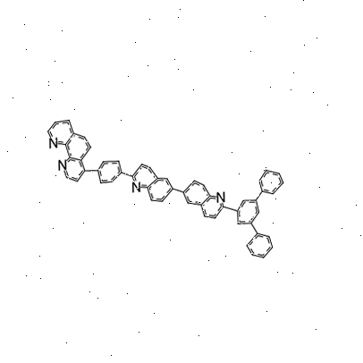 c1ccc(-c2cc(-c3ccccc3)cc(-c3ccc4cc(-c5ccc6nc(-c7ccc(-c8ccnc9c8ccc8cccnc89)cc7)ccc6c5)ccc4n3)c2)cc1